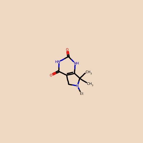 CCN1Cc2c([nH]c(=O)[nH]c2=O)C1(C)C